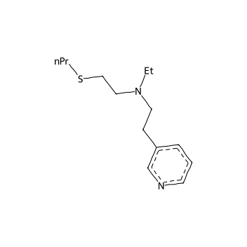 CCCSCCN(CC)CCc1cccnc1